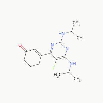 CC(Nc1nc(NC(C)C(F)(F)F)c(F)c(C2=CC(=O)CCC2)n1)C(F)(F)F